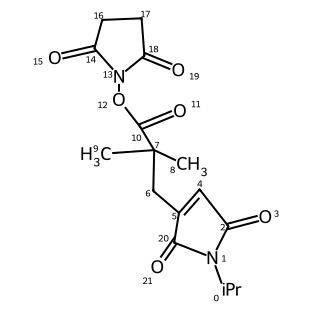 CC(C)N1C(=O)C=C(CC(C)(C)C(=O)ON2C(=O)CCC2=O)C1=O